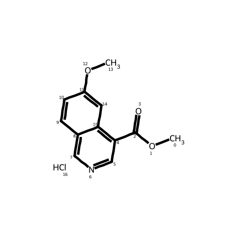 COC(=O)c1cncc2ccc(OC)cc12.Cl